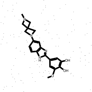 COc1cc(-c2nc3cc(N4CC5(CN(C)C5)C4)ccc3[nH]2)cc(O)c1O